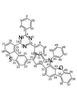 c1ccc(-c2nc(-c3ccccc3)nc(-c3cccc4sc5ccc(-c6ccc7c(c6)c6ccc8c9ccccc9oc8c6n7-c6ccccc6)cc5c34)n2)cc1